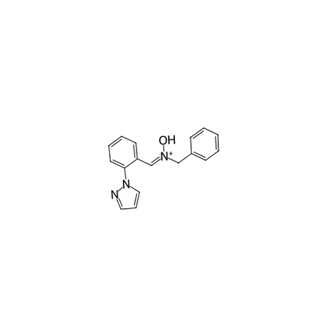 O/[N+](=C\c1ccccc1-n1cccn1)Cc1ccccc1